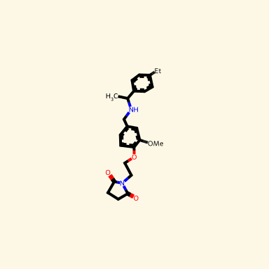 CCc1ccc(C(C)NCc2ccc(OCCN3C(=O)CCC3=O)c(OC)c2)cc1